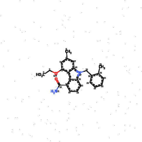 Cc1cc(OCC(=O)O)c2c3c(C(N)=O)cccc3n(Cc3ccccc3C)c2c1